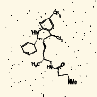 CNCCC(=O)NC[C@H](C)CC[C@@H]1[C@H](C)c2cc(C(F)(F)F)ccc2N[C@H]1C1C=CC=CC1